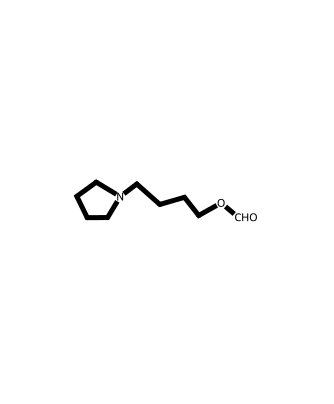 O=COCCCCN1CCCC1